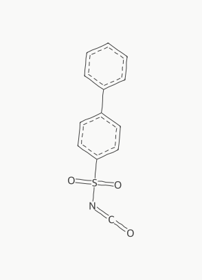 O=C=NS(=O)(=O)c1ccc(-c2ccccc2)cc1